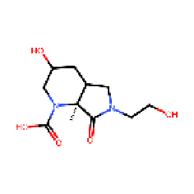 O=C1[C@@H]2C(CC(O)CN2C(=O)O)CN1CCO